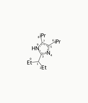 CCC(CC)c1nc(C(C)C)c(C(C)C)[nH]1